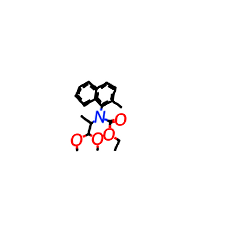 CCOC(=O)N(c1c(C)ccc2ccccc12)C(C)C(OC)OC